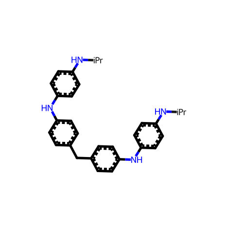 CC(C)Nc1ccc(Nc2ccc(Cc3ccc(Nc4ccc(NC(C)C)cc4)cc3)cc2)cc1